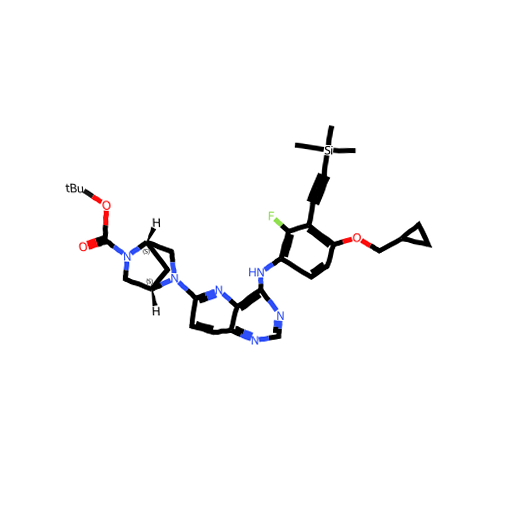 CC(C)(C)OC(=O)N1C[C@@H]2C[C@H]1CN2c1ccc2ncnc(Nc3ccc(OCC4CC4)c(C#C[Si](C)(C)C)c3F)c2n1